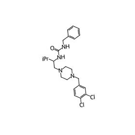 CC(C)C(CN1CCN(Cc2ccc(Cl)c(Cl)c2)CC1)NC(=O)NCc1ccccc1